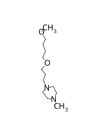 COCCCCOCCCN1CCN(C)CC1